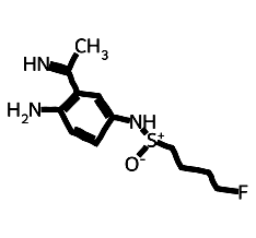 CC(=N)c1cc(N[S+]([O-])CCCCF)ccc1N